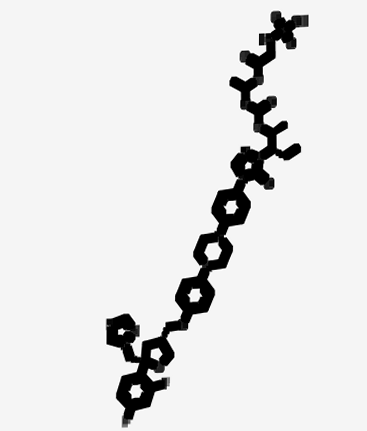 CC[C@@H]([C@H](C)OC(=O)OC(C)OC(=O)CNS(=O)(=O)O)n1ncn(-c2ccc(N3CCN(c4ccc(OC[C@@H]5CO[C@@](Cn6cncn6)(c6ccc(F)cc6F)C5)cc4)CC3)cc2)c1=O